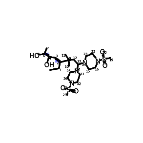 CC/C(=C\C(O)=C(/C)O)C(C)(C)CC(N1CCN(S(C)(=O)=O)CC1)N1CCN(S(C)(=O)=O)CC1